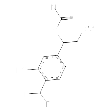 COCC(OC(N)=O)c1ccc(C(F)F)c(C)c1